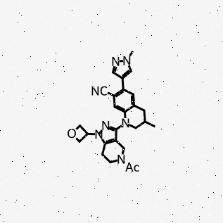 CC(=O)N1CCc2c(c(N3CC(C)Cc4cc(-c5cnn(C)c5)c(C#N)cc43)nn2C2COC2)C1